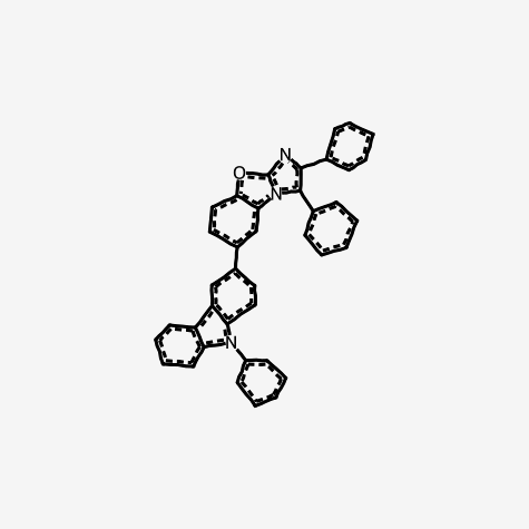 c1ccc(-c2nc3oc4ccc(-c5ccc6c(c5)c5ccccc5n6-c5ccccc5)cc4n3c2-c2ccccc2)cc1